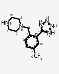 FC(F)(F)c1ccc(CN2CCNCC2)c(-c2nnn[nH]2)c1